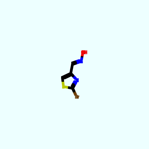 O/N=C/c1csc(Br)n1